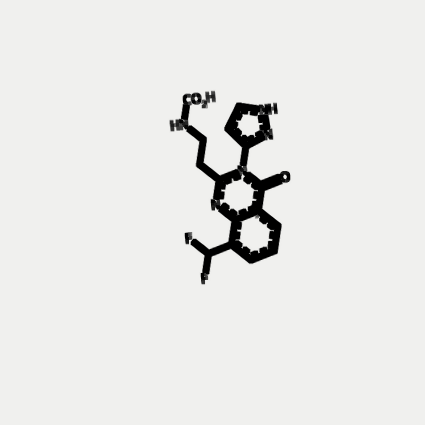 O=C(O)NCCc1nc2c(C(F)F)cccc2c(=O)n1-c1cc[nH]n1